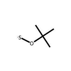 CC(C)(C)O[S]